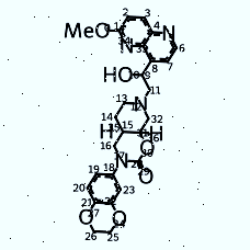 COc1ccc2nccc(C(O)CN3CC[C@@H]4CN(c5ccc6c(c5)OCCO6)C(=O)O[C@H]4C3)c2n1